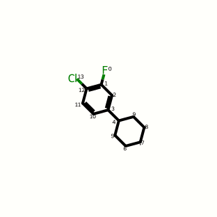 Fc1cc(C2CC[CH]CC2)ccc1Cl